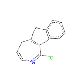 ClC1=NC=CCC2=C1c1ccccc1C2